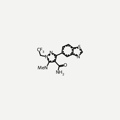 CNc1c(C(N)=O)c(-c2ccc3scnc3c2)nn1CC(F)(F)F